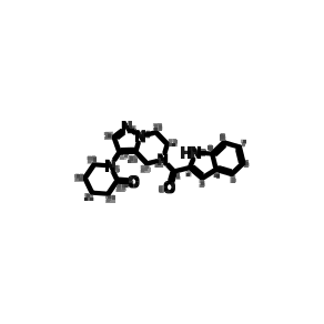 O=C(c1cc2ccccc2[nH]1)N1CCn2ncc(N3CCCCC3=O)c2C1